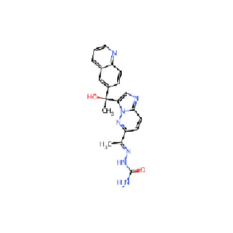 C/C(=N\NC(N)=O)c1ccc2ncc(C(C)(O)c3ccc4ncccc4c3)n2n1